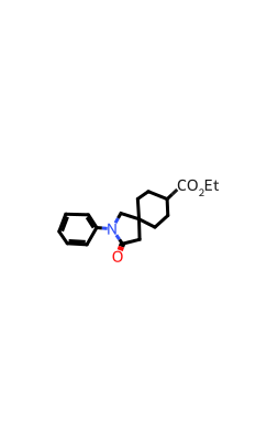 CCOC(=O)C1CCC2(CC1)CC(=O)N(c1ccccc1)C2